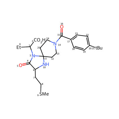 CCC(C(=O)O)N1C(=O)C(CCSC)NC12CCN(C(=O)c1ccc(C(C)(C)C)cc1)CC2